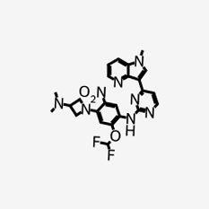 CN(C)C1CN(c2cc(OC(F)F)c(Nc3nccc(-c4cn(C)c5cccnc45)n3)cc2[N+](=O)[O-])C1